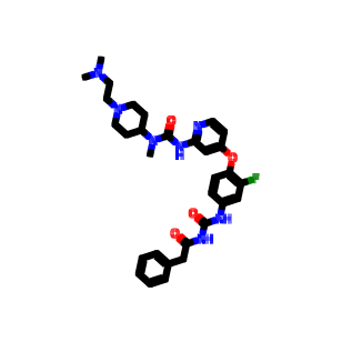 CN(C)CCN1CCC(N(C)C(=O)Nc2cc(Oc3ccc(NC(=O)NC(=O)Cc4ccccc4)cc3F)ccn2)CC1